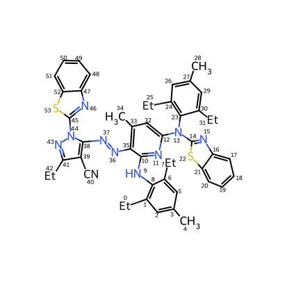 CCc1cc(C)cc(CC)c1Nc1nc(N(c2nc3ccccc3s2)c2c(CC)cc(C)cc2CC)cc(C)c1N=Nc1c(C#N)c(CC)nn1-c1nc2ccccc2s1